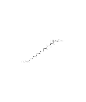 CCCCCCCCCCCCCCCCCCCCCCCCNCCCCCCCCCC